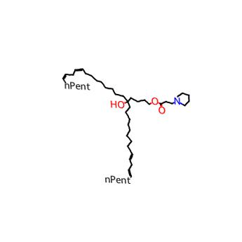 CCCCCC=CCC=CCCCCCCCCC(O)(CCCCCCCC/C=C\C/C=C\CCCCC)CCCCOC(=O)CCN1CCCCC1